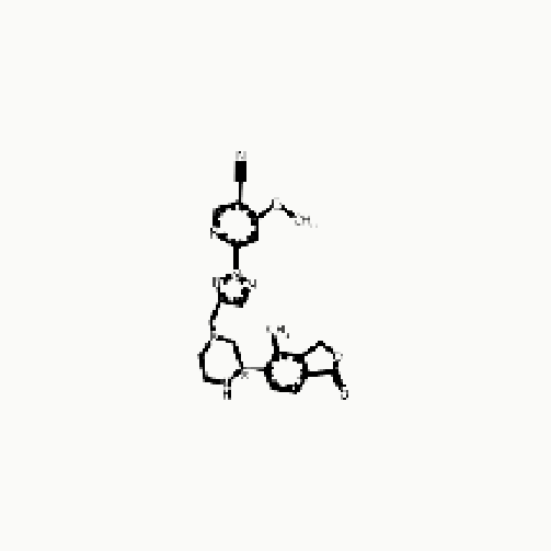 COc1cc(-n2ncc(CN3CCN[C@H](c4ccc5c(c4C)COC5=O)C3)n2)ncc1C#N